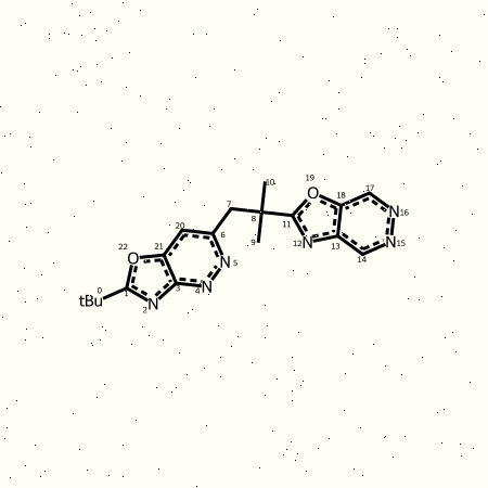 CC(C)(C)c1nc2nnc(CC(C)(C)c3nc4cnncc4o3)cc2o1